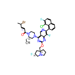 CC(Br)/C=C/C(=O)N1CCN(c2nc(OC[C@@]34CCCN3C[C@H](F)C4)nc3c(F)c(-c4cccc5ccc(F)c(Cl)c45)ncc23)C[C@@H]1CC#N